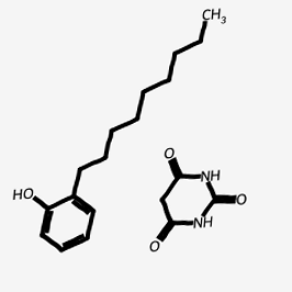 CCCCCCCCCc1ccccc1O.O=C1CC(=O)NC(=O)N1